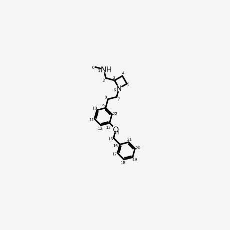 CNCC1CCN1CCc1cccc(OCc2ccccc2)c1